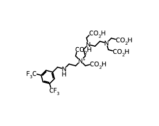 O=C(O)CN(CCN(CC(=O)O)CC(=O)O)CC[N+](CCNCc1cc(C(F)(F)F)cc(C(F)(F)F)c1)(CC(=O)O)CC(=O)O